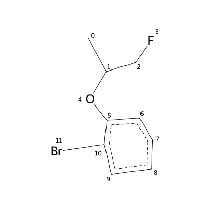 CC(CF)Oc1ccccc1Br